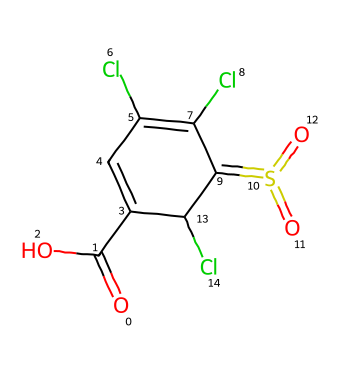 O=C(O)C1=CC(Cl)=C(Cl)C(=S(=O)=O)C1Cl